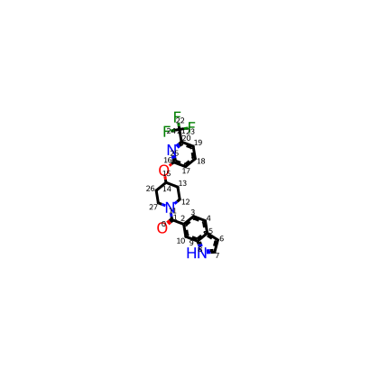 O=C(c1ccc2cc[nH]c2c1)N1CCC(Oc2cccc(C(F)(F)F)n2)CC1